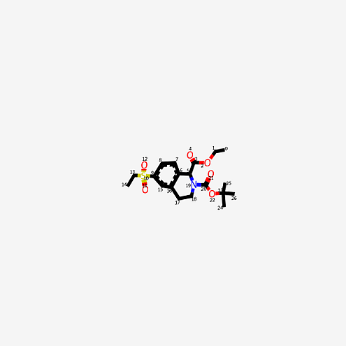 CCOC(=O)C1c2ccc(S(=O)(=O)CC)cc2CCN1C(=O)OC(C)(C)C